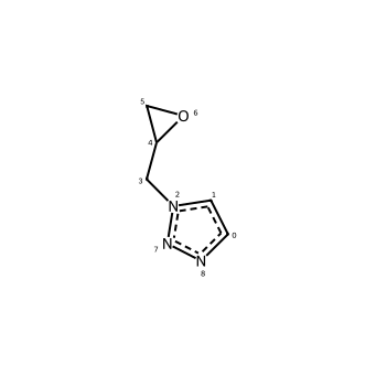 c1cn(CC2CO2)nn1